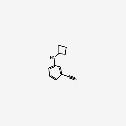 N#Cc1cccc(NC2CCC2)c1